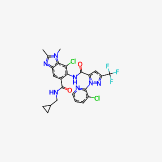 Cc1nc2cc(C(=O)NCC3CC3)c(NC(=O)c3cc(C(F)(F)F)nn3-c3ncccc3Cl)c(Cl)c2n1C